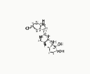 OC1CCCC(Nc2nc(-c3c[nH]c4ncc(Cl)cc34)ncc2F)[C@@H]1O